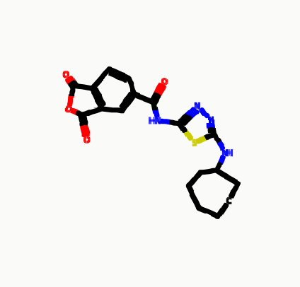 O=C(Nc1nnc(NC2CCCCCC2)s1)c1ccc2c(c1)C(=O)OC2=O